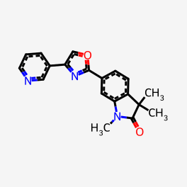 CN1C(=O)C(C)(C)c2ccc(-c3nc(-c4cccnc4)co3)cc21